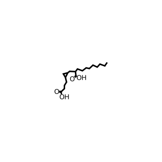 CCCCCCCCCC(CC1CC1CCCC(=O)O)C(=O)O